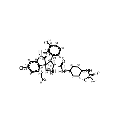 CCS(=O)(=O)NC1CCC(NC(=O)[C@@H]2N[C@H](CC(C)(C)C)[C@]3(C(=O)Nc4cc(Cl)ccc43)[C@H]2c2cccc(Cl)c2F)CC1